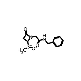 C[S+]([O-])C1CC(=O)N1CC(=O)NCc1ccccc1